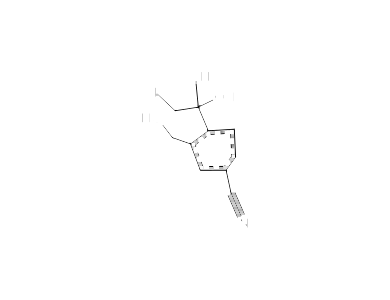 CC(O)(CI)c1ccc(C#N)cc1CO